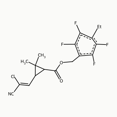 CCc1c(F)c(F)c(COC(=O)C2C(C=C(Cl)C#N)C2(C)C)c(F)c1F